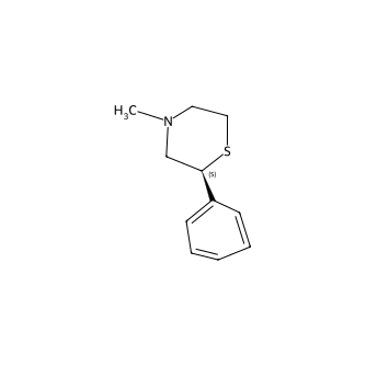 CN1CCS[C@@H](c2ccccc2)C1